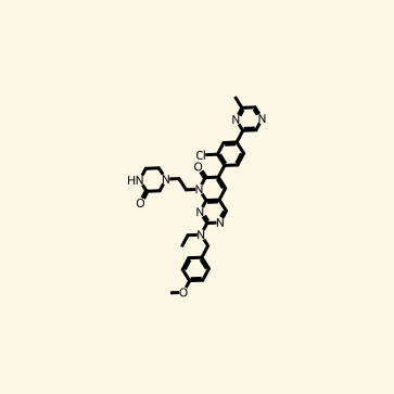 CCN(Cc1ccc(OC)cc1)c1ncc2cc(-c3ccc(-c4cncc(C)n4)cc3Cl)c(=O)n(CCN3CCNC(=O)C3)c2n1